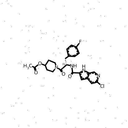 CC(=O)OC1CCN(C(=O)[C@H](Cc2ccc(F)cc2)NC(=O)c2cc3cc(Cl)ncc3[nH]2)CC1